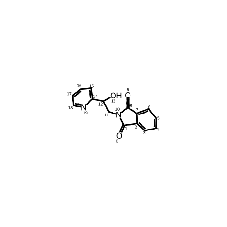 O=C1c2ccccc2C(=O)N1CC(O)c1ccccn1